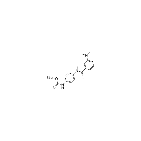 CN(C)c1cccc(C(=O)Nc2ccc(NC(=O)OC(C)(C)C)cc2)c1